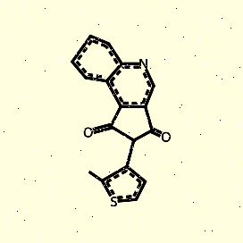 Cc1sccc1C1C(=O)c2cnc3ccccc3c2C1=O